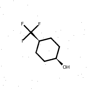 O[C@H]1CC[C@@H](C(F)(F)I)CC1